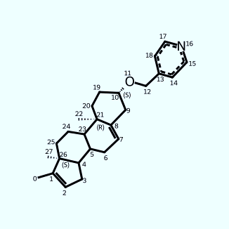 CC1=CCC2C3CC=C4C[C@@H](OCc5ccncc5)CC[C@]4(C)C3CC[C@]12C